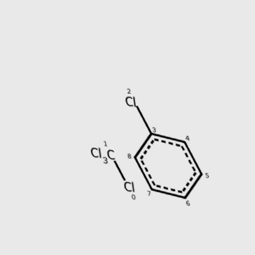 ClC(Cl)(Cl)Cl.Clc1ccccc1